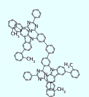 Cc1ccccc1-c1ccc2c(c1)c1cc(-c3ccccc3C)ccc1n2-c1cc(-c2cccc(-c3ccc(-c4nc(-c5ccccc5)nc(-c5ccccc5)n4)c(-n4c5ccc(-c6ccccc6C)cc5c5cc(-c6ccccc6C)ccc54)c3)c2)ccc1-c1nc(-c2ccccc2)nc(-c2ccccc2)n1